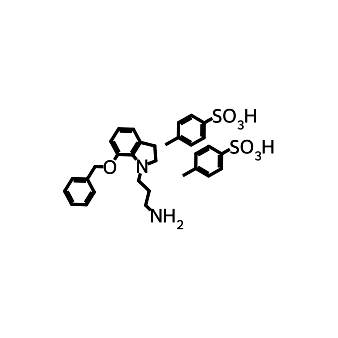 Cc1ccc(S(=O)(=O)O)cc1.Cc1ccc(S(=O)(=O)O)cc1.NCCCN1CCc2cccc(OCc3ccccc3)c21